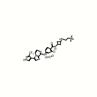 C[N+](C)(C)CCNC1CC(NC(=O)c2ccc(Nc3nccn4c(-c5c[nH]nc5C(F)(F)F)cnc34)cc2Cl)C1.O=C[O-]